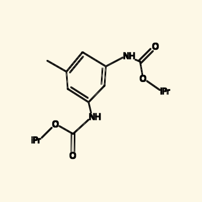 Cc1cc(NC(=O)OC(C)C)cc(NC(=O)OC(C)C)c1